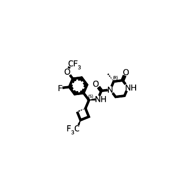 C[C@@H]1C(=O)NCCN1C(=O)N[C@H](c1ccc(OC(F)(F)F)c(F)c1)[C@H]1C[C@H](C(F)(F)F)C1